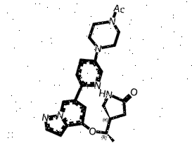 CC(=O)N1CCN(c2ccc(-c3cc(O[C@H](C)[C@H]4CNC(=O)C4)c4ccnn4c3)nc2)CC1